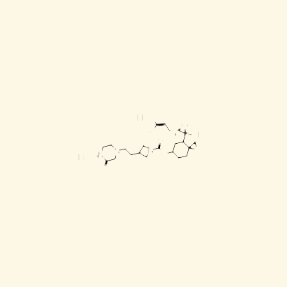 CC(C)=CC[C@H]1O[C@]1(C)C1CC(OC(=O)N2CC(CCN3CCN(C)C(=O)C3)C2)CCC12CO2